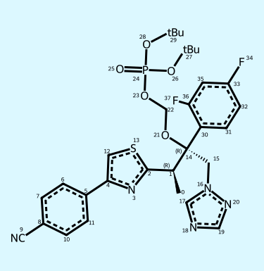 C[C@@H](c1nc(-c2ccc(C#N)cc2)cs1)[C@@](Cn1cncn1)(OCOP(=O)(OC(C)(C)C)OC(C)(C)C)c1ccc(F)cc1F